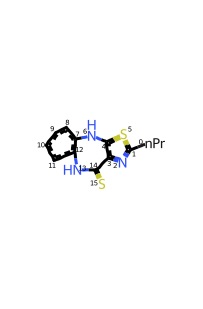 CCCc1nc2c(s1)Nc1ccccc1NC2=S